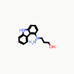 NN(CCCO)c1cccc2[nH]c3ccccc3c12